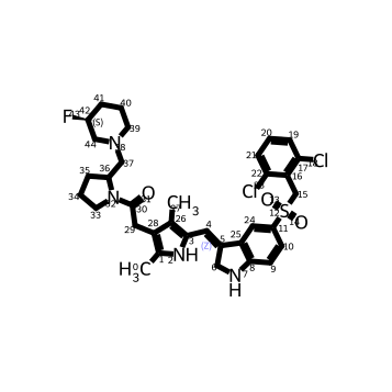 Cc1[nH]c(/C=C2\CNc3ccc(S(=O)(=O)Cc4c(Cl)cccc4Cl)cc32)c(C)c1CC(=O)N1CCCC1CN1CCC[C@H](F)C1